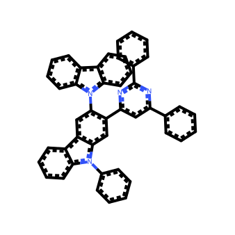 c1ccc(-c2cc(-c3cc4c(cc3-n3c5ccccc5c5ccccc53)c3ccccc3n4-c3ccccc3)nc(-c3ccccc3)n2)cc1